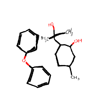 CC1CCC(C(C)(C)O)C(O)C1.c1ccc(Oc2ccccc2)cc1